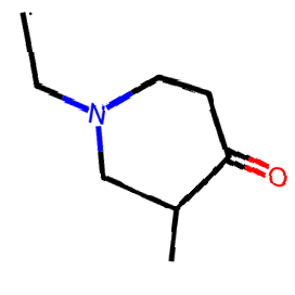 [CH2]CN1CCC(=O)C(C)C1